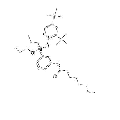 CCCCCCCC(=O)Sc1cccc([Si](CCC)(OCCC)Oc2ccc(C(C)(C)C)cc2C(C)(C)C)c1